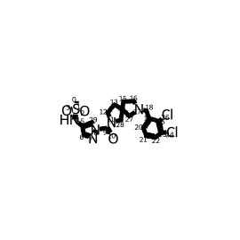 CS(=O)(=O)Nc1cnn(C(=O)N2CCC3(CCN(Cc4cccc(Cl)c4Cl)C3)C2)c1